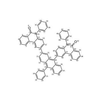 O=c1c2ccccc2c2cc(-c3ccc4c(-c5ccccc5)c5ccccc5c(-c5ccc6c(c5)c5ccccc5c(=O)n6-c5ccccc5)c4c3)ccc2n1-c1ccccc1